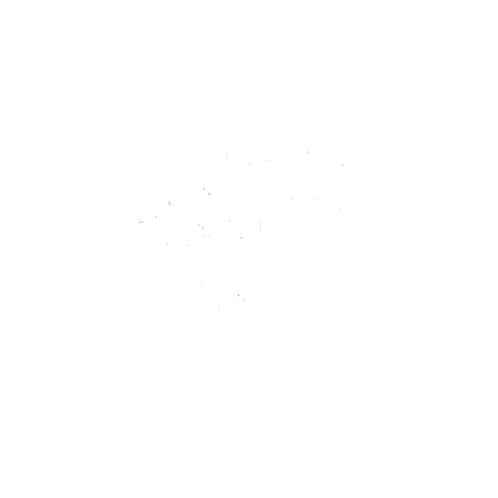 O=C(O)N1CCOC(Cc2c(-c3c(F)cc(Sc4ccccc4)cc3F)nc3cc(Cl)ccn23)C1